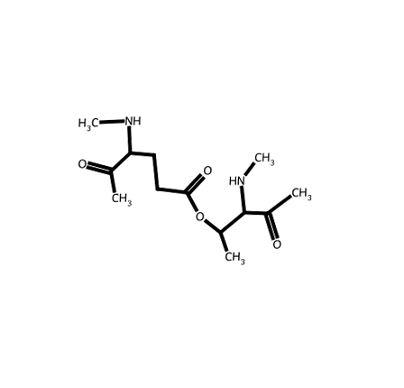 CNC(CCC(=O)OC(C)C(NC)C(C)=O)C(C)=O